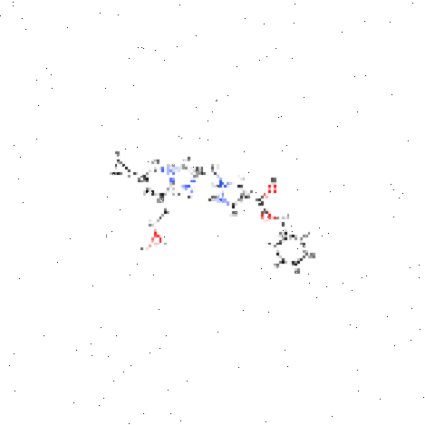 COCCc1cc(C2CC2)cn2cc(Cn3cc(C(=O)OCc4ccccc4)cn3)nc12